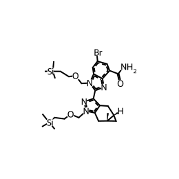 C[C@@]12Cc3c(c(-c4nc5c(C(N)=O)cc(Br)cc5n4COCC[Si](C)(C)C)nn3COCC[Si](C)(C)C)C[C@@H]1C2